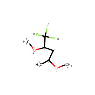 COC(C)CC(OC)C(F)(F)F